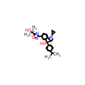 CC(C)c1ccc([C@](O)(c2cccc(-c3noc(C(C)(C)O)n3)c2)C2(F)CN(C3CC3)C2)cc1